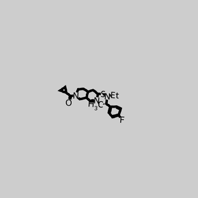 CCN(SC1CC2CCN(C(=O)C3CC3)CC2C=N1)[C@@H](C)c1ccc(F)cc1